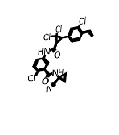 C=Cc1ccc(C2C(C(=O)Nc3ccc(Cl)c(C(=O)NC4(C#N)CC4)c3)C2(Cl)Cl)cc1Cl